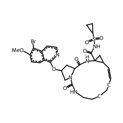 COc1ccc2c(OC3CC4C(=O)NC5(C(=O)NS(=O)(=O)C6CC6)CC5C=CCCCCCNC(=O)N4C3)nccc2c1Br